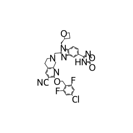 N#Cc1cc2c(nc1OCc1c(F)cc(Cl)cc1F)CN(Cc1nc3cc(-c4noc(=O)[nH]4)ccc3n1C[C@@H]1CCO1)CC2